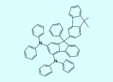 CC1(C)c2ccccc2-c2cc(C3(c4ccccc4)c4ccccc4-c4c(N(c5ccccc5)c5ccccc5)cc(N(c5ccccc5)c5ccccc5)cc43)ccc21